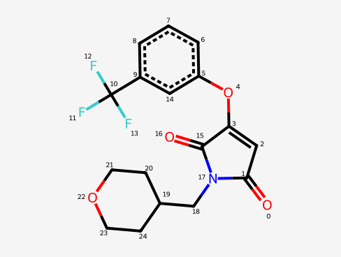 O=C1C=C(Oc2cccc(C(F)(F)F)c2)C(=O)N1CC1CCOCC1